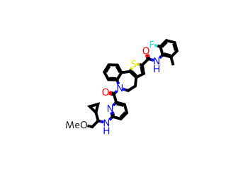 COCC(Nc1cccc(C(=O)N2CCc3cc(C(=O)Nc4c(C)cccc4F)sc3-c3ccccc32)n1)C1CC1